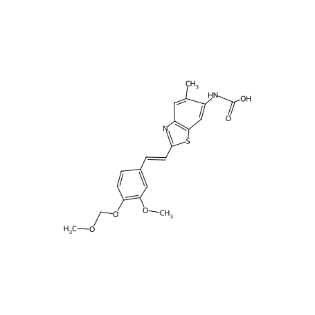 COCOc1ccc(C=Cc2nc3cc(C)c(NC(=O)O)cc3s2)cc1OC